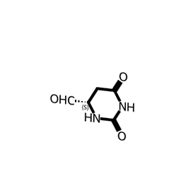 O=C[C@@H]1CC(=O)NC(=O)N1